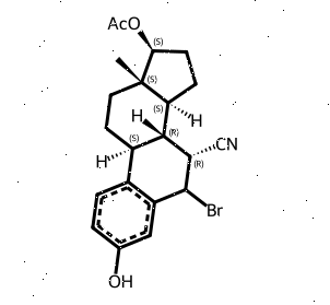 CC(=O)O[C@H]1CC[C@H]2[C@H]3[C@H](CC[C@]12C)c1ccc(O)cc1C(Br)[C@H]3C#N